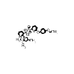 CCOc1ccc(Oc2cccc(S(=O)(=O)NC(=O)c3cccnc3N3CC(C)CC3(C)C)n2)cc1